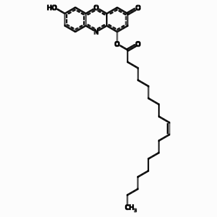 CCCCCCCC/C=C\CCCCCCCC(=O)Oc1cc(=O)cc2oc3cc(O)ccc3nc1-2